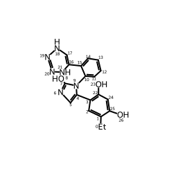 CCc1cc(-c2cnc(O)n2-c2ccccc2C2=CNN=NN2)c(O)cc1O